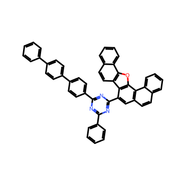 c1ccc(-c2ccc(-c3ccc(-c4nc(-c5ccccc5)nc(-c5cc6ccc7ccccc7c6c6oc7c8ccccc8ccc7c56)n4)cc3)cc2)cc1